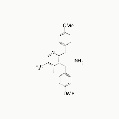 COc1ccc(Cc2ncc(C(F)(F)F)c(C)c2Cc2ccc(OC)cc2)cc1.N